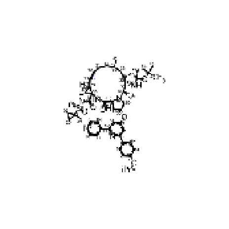 CC(C)Oc1ccc(-c2cc(O[C@@H]3C[C@H]4C(=O)N[C@]5(C(=O)NS(=O)(=O)C6(C)CC6)C[C@H]5/C=C\CC[C@@H](C)C[C@@H](C)[C@H](NC(=O)OC(C)(C)C(F)(F)F)C(=O)N4C3)cc(-c3ccncc3)n2)cc1